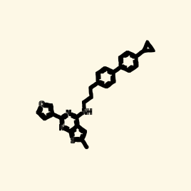 Cc1cc2c(NCCCc3ccc(-c4ccc(C5CC5)cc4)cc3)nc(-c3ccoc3)nc2s1